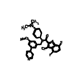 COc1cc(CN(C(=O)c2sc3c(F)ccc(F)c3c2Cl)[C@H]2CC[C@H](N(C)C)CC2)cc(-c2ccncc2)c1